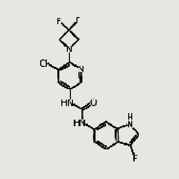 O=C(Nc1cnc(N2CC(F)(F)C2)c(Cl)c1)Nc1ccc2c(F)c[nH]c2c1